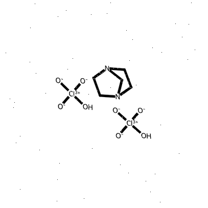 C1CN2CCN1C2.[O-][Cl+3]([O-])([O-])O.[O-][Cl+3]([O-])([O-])O